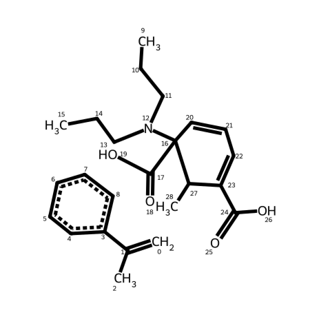 C=C(C)c1ccccc1.CCCN(CCC)C1(C(=O)O)C=CC=C(C(=O)O)C1C